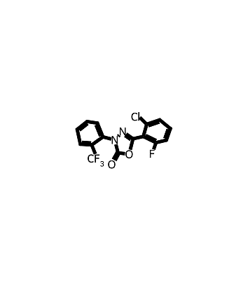 O=c1oc(-c2c(F)cccc2Cl)nn1-c1ccccc1C(F)(F)F